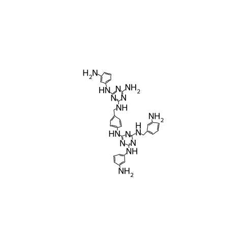 Nc1cccc(CNc2nc(Nc3ccc(CNc4nc(N)nc(Nc5cccc(N)c5)n4)cc3)nc(Nc3cccc(N)c3)n2)c1